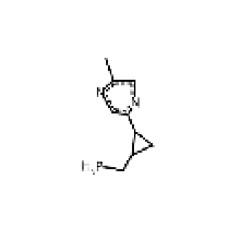 Cc1cnc(C2CC2CP)cn1